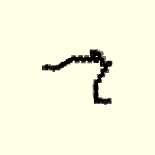 CCCCCCCC#CC#CCCCCCCC(=O)OCC(CS)OC(=O)CCCCCCC#CC#CCCCCCCC